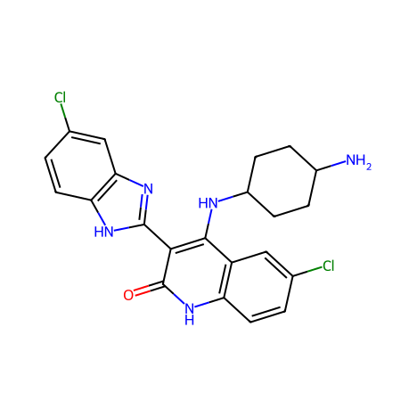 NC1CCC(Nc2c(-c3nc4cc(Cl)ccc4[nH]3)c(=O)[nH]c3ccc(Cl)cc23)CC1